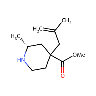 C=C(C)CC1(C(=O)OC)CCN[C@H](C)C1